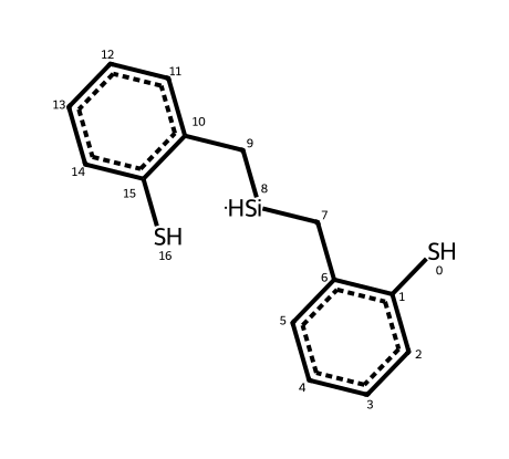 Sc1ccccc1C[SiH]Cc1ccccc1S